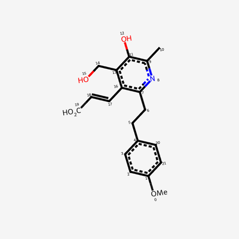 COc1ccc(CCc2nc(C)c(O)c(CO)c2/C=C/C(=O)O)cc1